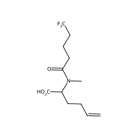 C=CCCC(C(=O)O)N(C)C(=O)CCCC(F)(F)F